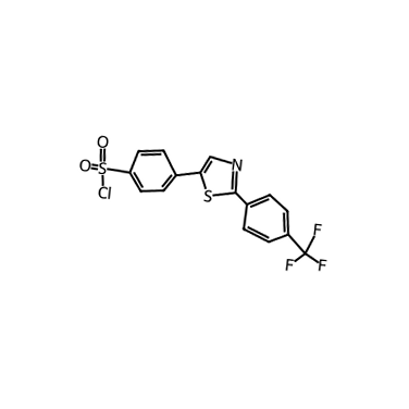 O=S(=O)(Cl)c1ccc(-c2cnc(-c3ccc(C(F)(F)F)cc3)s2)cc1